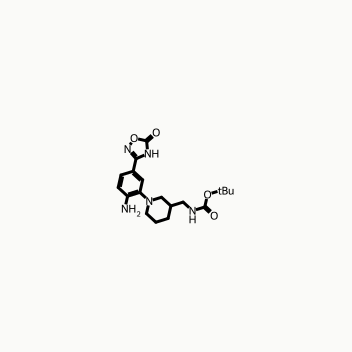 CC(C)(C)OC(=O)NCC1CCCN(c2cc(-c3noc(=O)[nH]3)ccc2N)C1